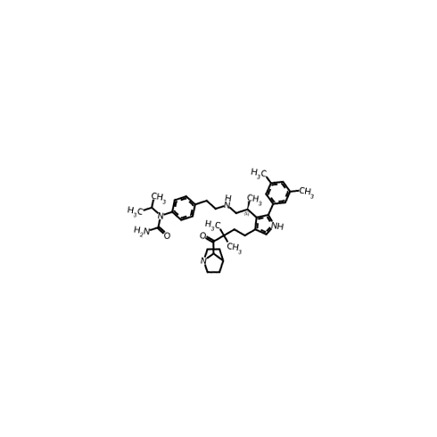 Cc1cc(C)cc(-c2[nH]cc(CCC(C)(C)C(=O)C3C4CCN3CC4)c2[C@H](C)CNCCc2ccc(N(C(N)=O)C(C)C)cc2)c1